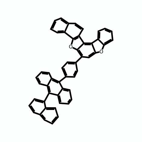 c1ccc2c(-c3c4ccccc4c(-c4ccc(-c5cc6oc7ccccc7c6c6c5oc5c7ccccc7ccc56)cc4)c4ccccc34)cccc2c1